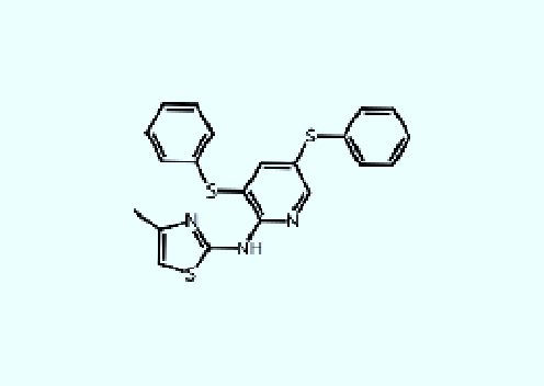 Cc1csc(Nc2ncc(Sc3ccccc3)cc2Sc2ccccc2)n1